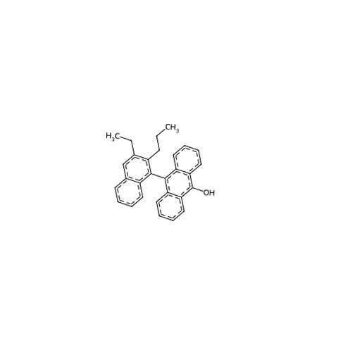 CCCc1c(CC)cc2ccccc2c1-c1c2ccccc2c(O)c2ccccc12